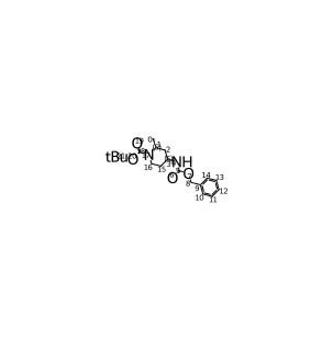 C[C@H]1C[C@@H](NC(=O)OCc2ccccc2)CCN1C(=O)OC(C)(C)C